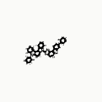 c1ccc(-c2ccc3c(c2)oc2ccc4sc(-n5c6ccccc6c6c7c8ccccc8n(-c8ccccc8)c7ccc65)nc4c23)cc1